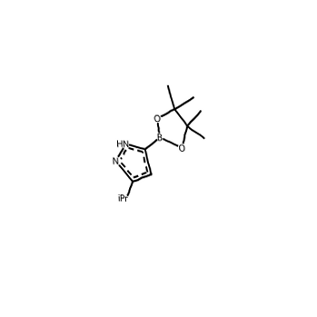 CC(C)c1cc(B2OC(C)(C)C(C)(C)O2)[nH]n1